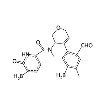 Bc1cc(C2=CCOCC2N(C)C(=O)c2ccc(B)c(=O)[nH]2)c(C=O)cc1C